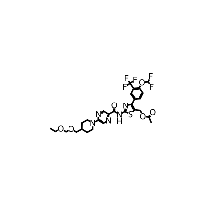 CCOCOCC1CCN(c2cnc(C(=O)Nc3nc(-c4ccc(OC(F)F)c(C(F)(F)F)c4)c(COC(C)=O)s3)cn2)CC1